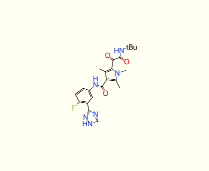 Cc1c(C(=O)Nc2ccc(F)c(-c3nc[nH]n3)c2)c(C)n(C)c1C(=O)C(=O)NC(C)(C)C